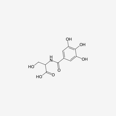 O=C(NC(CO)C(=O)O)c1cc(O)c(O)c(O)c1